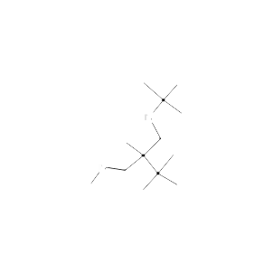 CNCC(C)(CNC(C)(C)C)C(C)(C)C